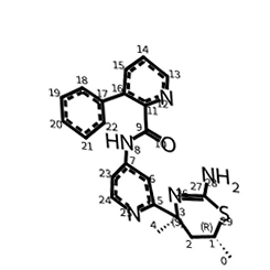 C[C@@H]1C[C@@](C)(c2cc(NC(=O)c3ncccc3-c3ccccc3)ccn2)N=C(N)S1